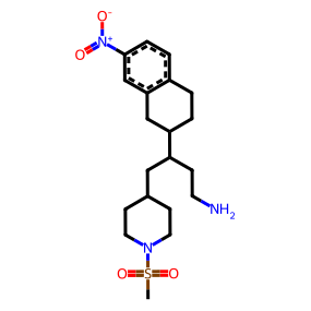 CS(=O)(=O)N1CCC(CC(CCN)C2CCc3ccc([N+](=O)[O-])cc3C2)CC1